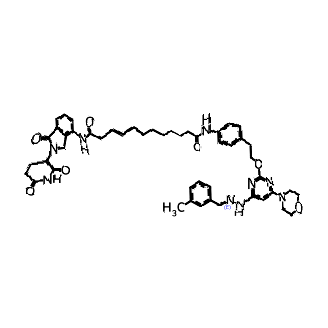 Cc1cccc(/C=N/Nc2cc(N3CCOCC3)nc(OCCc3ccc(NC(=O)CCCCCCCCCCC(=O)Nc4cccc5c4CN(C4CCC(=O)NC4=O)C5=O)cc3)n2)c1